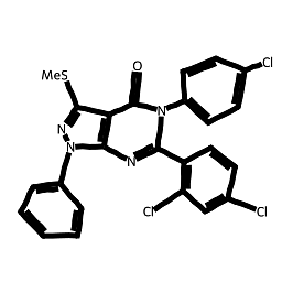 CSc1nn(-c2ccccc2)c2nc(-c3ccc(Cl)cc3Cl)n(-c3ccc(Cl)cc3)c(=O)c12